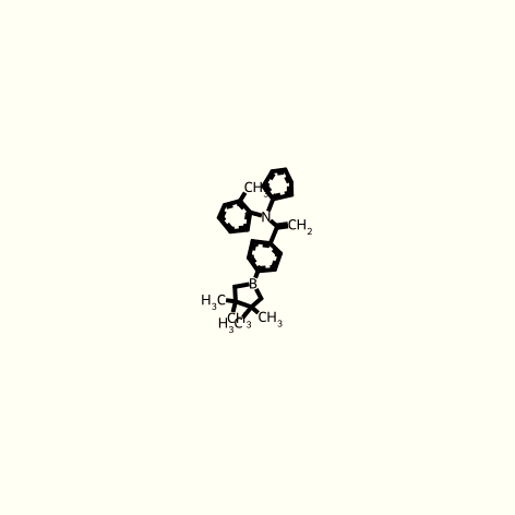 C=C(c1ccc(B2CC(C)(C)C(C)(C)C2)cc1)N(c1ccccc1)c1ccccc1C